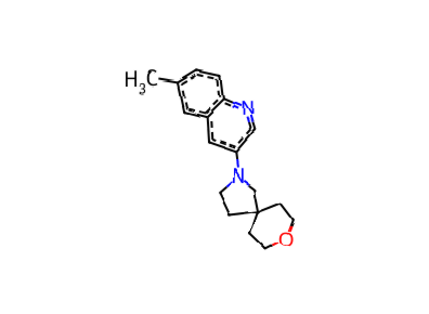 Cc1ccc2ncc(N3CCC4(CCOCC4)C3)cc2c1